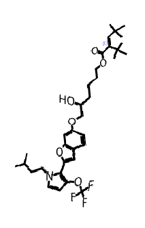 CC(C)CCn1ccc(OC(F)(F)F)c1-c1cc2ccc(OCC(O)CCCCOC(=O)/C(=C/C(C)(C)C)C(C)(C)C)cc2o1